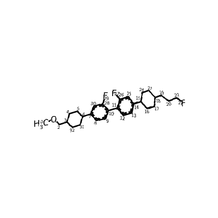 COCC1CCC(c2ccc(-c3ccc(C4CCC(CCCF)CC4)cc3F)c(F)c2)CC1